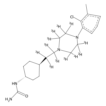 [2H]C1([2H])N(c2cccc(C)c2Cl)C([2H])([2H])C([2H])([2H])N(C([2H])([2H])C([2H])([2H])[C@H]2CC[C@H](NC(N)=O)CC2)C1([2H])[2H]